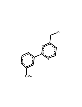 COc1cccc(-c2nccc(CBr)n2)c1